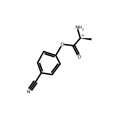 C[C@H](N)C(=O)Oc1ccc(C#N)cc1